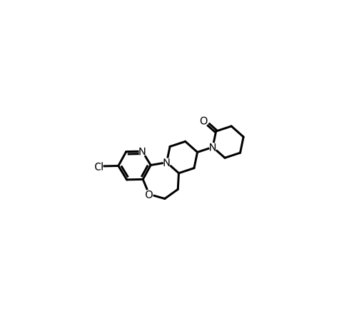 O=C1CCCCN1C1CCN2c3ncc(Cl)cc3OCCC2C1